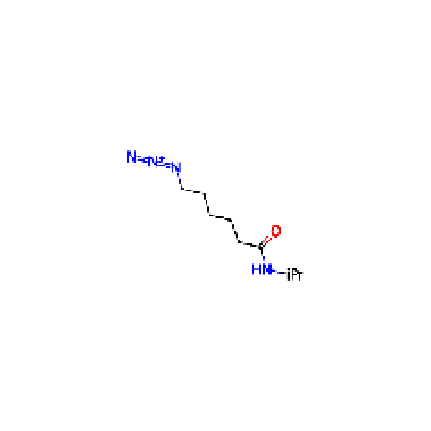 CC(C)NC(=O)CCCCCN=[N+]=[N-]